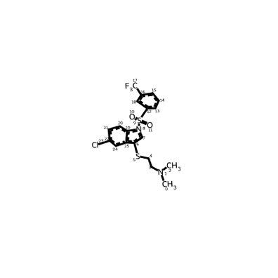 CN(C)CCSc1cn(S(=O)(=O)c2cccc(C(F)(F)F)c2)c2ccc(Cl)cc12